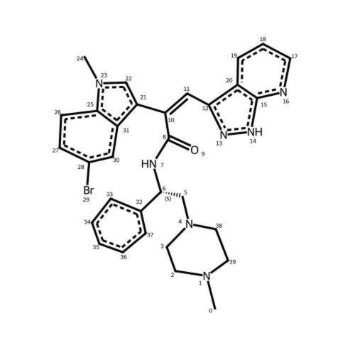 CN1CCN(C[C@@H](NC(=O)C(=Cc2n[nH]c3ncccc23)c2cn(C)c3ccc(Br)cc23)c2ccccc2)CC1